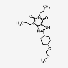 CCCn1c(=O)c2[nH]c([C@H]3CC[C@@H](OCOC)CC3)nc2n(CCC)c1=O